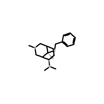 CN1CC2CC[C@@H](N(C)C)C(C1)[C@@H]2OCc1ccccc1